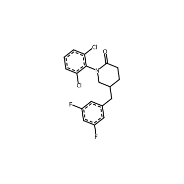 O=C1CCC(Cc2cc(F)cc(F)c2)CN1c1c(Cl)cccc1Cl